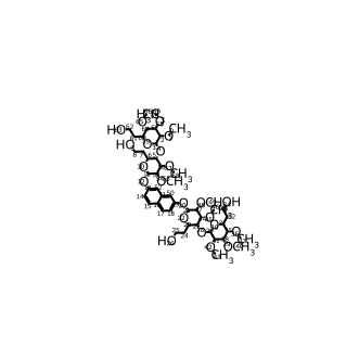 COC1C(O[C@H]2C(CCO)O[C@@H](Oc3ccc4ccc(O[C@@H]5OC(CCO)C(OC6OC(CCO)[C@@H](OC)[C@@H](OC)C6OC)[C@@H](OC)C5OC)cc4c3)C(OC)C2OC)OC(CCO)[C@H](OC)C1OC